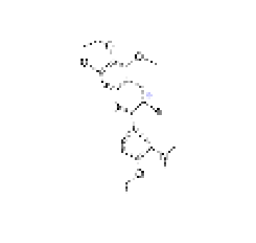 CCOc1ccc(C(=O)/C(Br)=C\c2ccc3c(c2OC)OCCO3)cc1N(C)C